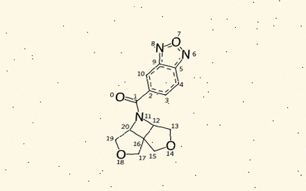 O=C(c1ccc2nonc2c1)N1C2COCC23COCC13